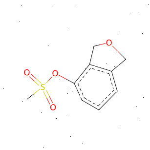 CS(=O)(=O)Oc1cccc2c1COC2